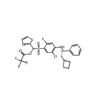 O=C(ON(c1nccs1)S(=O)(=O)c1cc(Cl)c(N[C@@H](CN2CCC2)c2ccccc2)cc1F)C(F)(F)F